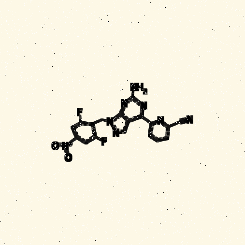 N#Cc1cccc(-c2nc(N)nc3c2cnn3Cc2c(F)cc([N+](=O)[O-])cc2F)n1